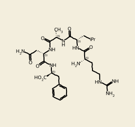 CC(C)C[C@H](NC(=O)[C@@H](N)CCCNC(=N)N)C(=O)N[C@@H](C)C(=O)N[C@@H](CC(N)=O)C(=O)N[C@@H](Cc1ccccc1)C(=O)O